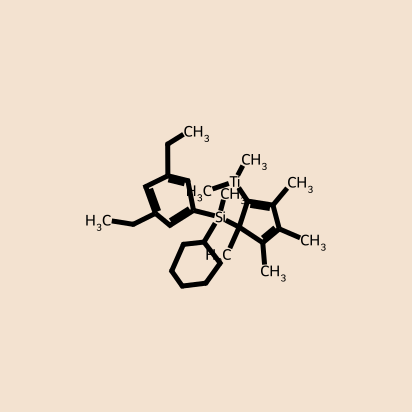 CCc1cc(CC)cc([Si](C)(C2CCCCC2)C2(C)C(C)=C(C)C(C)=[C]2[Ti]([CH3])[CH3])c1